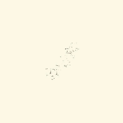 OC[C@H]1OC(n2cnc3c(NCc4cc(F)c(F)c(F)c4)ncnc32)[C@H](O)[C@@H]1O